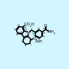 CCCOC1CCCc2c1n(Cc1cccc(C(N)=O)c1)c1c(C(=O)O)cccc21